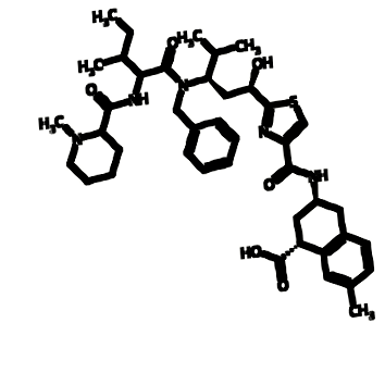 CCC(C)C(NC(=O)C1CCCCN1C)C(=O)N(Cc1ccccc1)[C@H](C[C@@H](O)c1nc(C(=O)N[C@H]2Cc3ccc(C)cc3[C@H](C(=O)O)C2)cs1)C(C)C